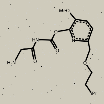 COc1ccc(COCCC(C)C)nc1OC(=O)NC(=O)CN